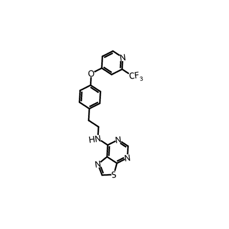 FC(F)(F)c1cc(Oc2ccc(CCNc3ncnc4scnc34)cc2)ccn1